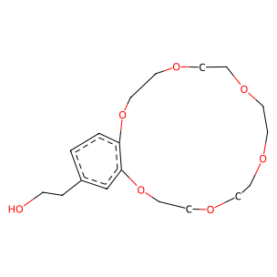 OCCc1ccc2c(c1)OCCOCCOCCOCCOCCO2